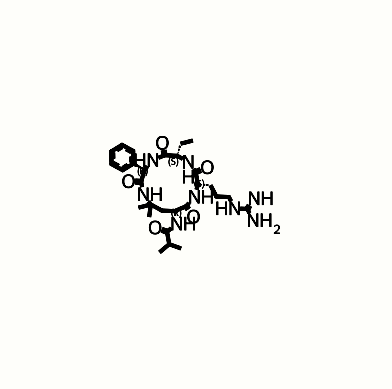 CC[C@@H]1NC(=O)[C@H](CCCNC(=N)N)NC(=O)[C@H](NC(=O)C(C)C)CC(C)(C)NC(=O)[C@@H](c2ccccc2)NC1=O